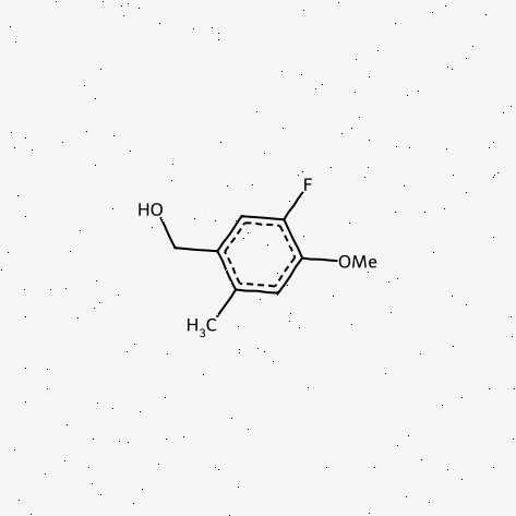 COc1cc(C)c(CO)cc1F